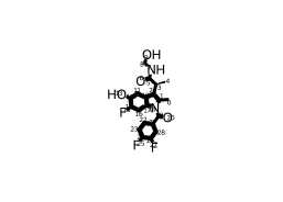 Cc1c([C@H](C)C(=O)NCO)c2cc(O)c(F)cc2n1C(=O)c1ccc(F)c(F)c1